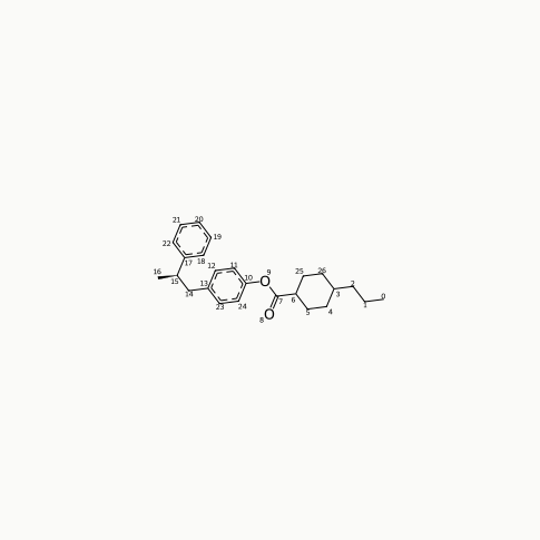 CCCC1CCC(C(=O)Oc2ccc(C[C@@H](C)c3ccccc3)cc2)CC1